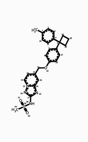 Cc1ccc(C2(c3ccc(OCc4ccn5nc(NS(C)(=O)=O)nc5c4)cc3)CCC2)cc1